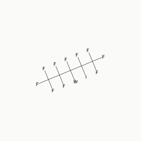 FC(F)(F)C(F)(F)C(F)(Br)C(F)(I)C(F)(F)F